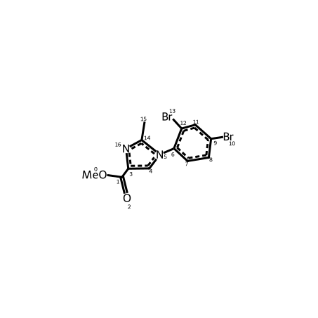 COC(=O)c1cn(-c2ccc(Br)cc2Br)c(C)n1